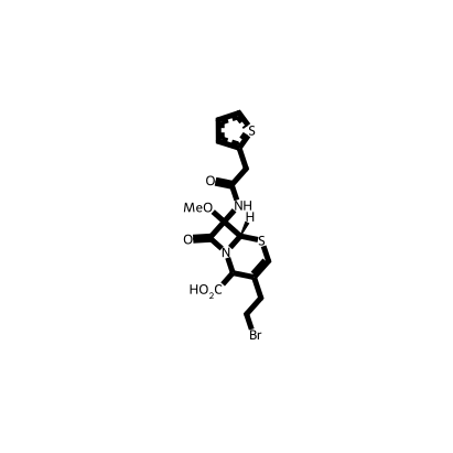 COC1(NC(=O)Cc2cccs2)C(=O)N2C(C(=O)O)C(CCBr)=CS[C@H]21